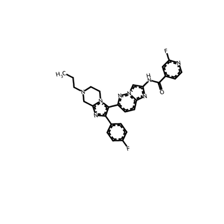 CCCN1CCn2c(nc(-c3ccc(F)cc3)c2-c2ccc3nc(NC(=O)c4ccnc(F)c4)cn3n2)C1